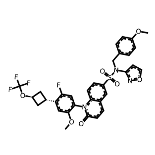 COc1ccc(CN(c2ccon2)S(=O)(=O)c2ccc3c(ccc(=O)n3-c3cc(F)c([C@H]4C[C@H](OC(F)(F)F)C4)cc3OC)c2)cc1